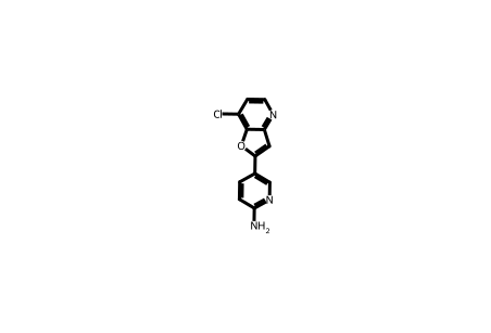 Nc1ccc(-c2cc3nccc(Cl)c3o2)cn1